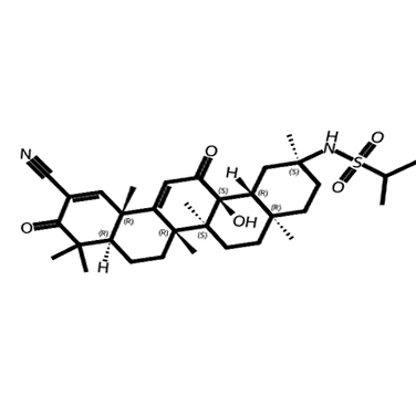 CC(C)S(=O)(=O)N[C@@]1(C)CC[C@@]2(C)CC[C@@]3(C)[C@]4(C)CC[C@H]5C(C)(C)C(=O)C(C#N)=C[C@]5(C)C4=CC(=O)[C@]3(O)[C@@H]2C1